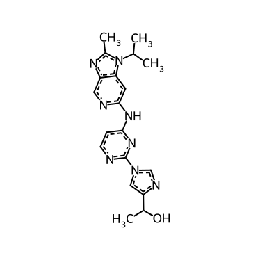 Cc1nc2cnc(Nc3ccnc(-n4cnc(C(C)O)c4)n3)cc2n1C(C)C